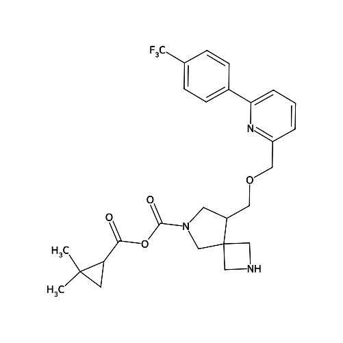 CC1(C)CC1C(=O)OC(=O)N1CC(COCc2cccc(-c3ccc(C(F)(F)F)cc3)n2)C2(CNC2)C1